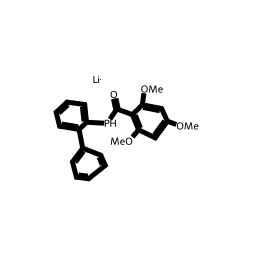 COc1cc(OC)c(C(=O)Pc2ccccc2-c2ccccc2)c(OC)c1.[Li]